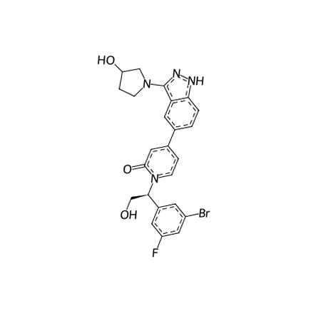 O=c1cc(-c2ccc3[nH]nc(N4CCC(O)C4)c3c2)ccn1[C@H](CO)c1cc(F)cc(Br)c1